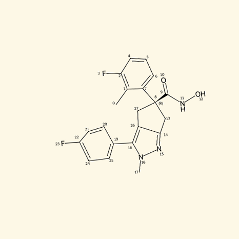 Cc1c(F)cccc1[C@]1(C(=O)NO)Cc2nn(C)c(-c3ccc(F)cc3)c2C1